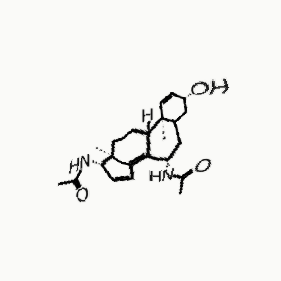 CC(=O)N[C@H]1CC2C[C@@H](O)C=C[C@]2(C)[C@H]2CC[C@@]3(C)C(=C12)C=C[C@@H]3NC(C)=O